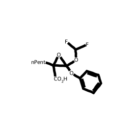 CCCCCC1(C(=O)O)OC1(Oc1ccccc1)OC(F)F